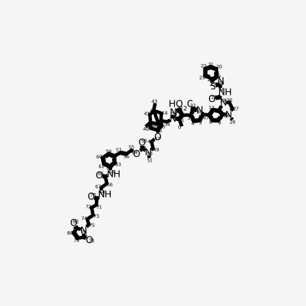 Cc1c(-c2ccc(-c3ccc4c(c3)N(C(=O)Nc3nc5ccccc5s3)CCN4C)nc2C(=O)O)cnn1CC12CC3(C)CC(C)(C1)CC(OCCN(C)C(=O)OC/C=C/c1cc[c]c(NC(=O)CCNC(=O)CCCCCN4C(=O)C=CC4=O)c1)(C3)C2